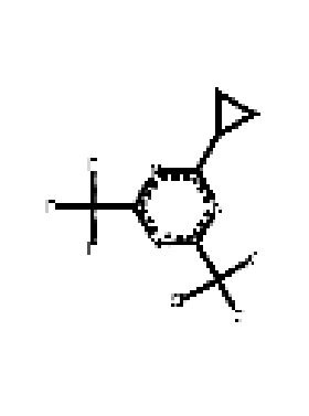 FC(F)(F)c1nc(C2CC2)nc(C(Cl)(Cl)Cl)n1